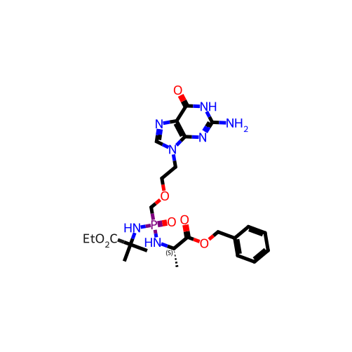 CCOC(=O)C(C)(C)NP(=O)(COCCn1cnc2c(=O)[nH]c(N)nc21)N[C@@H](C)C(=O)OCc1ccccc1